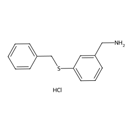 Cl.NCc1cccc(SCc2ccccc2)c1